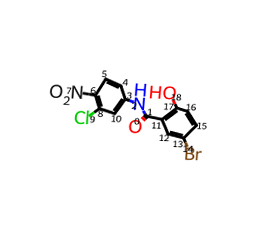 O=C(Nc1ccc([N+](=O)[O-])c(Cl)c1)c1cc(Br)ccc1O